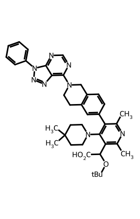 Cc1nc(C)c(C(OC(C)(C)C)C(=O)O)c(N2CCC(C)(C)CC2)c1-c1ccc2c(c1)CCN(c1ncnc3c1nnn3-c1ccccc1)C2